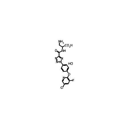 Cl.NCC(NC(=O)c1nnn(-c2ccc(Oc3ncc(Cl)cc3F)cc2)n1)C(=O)O